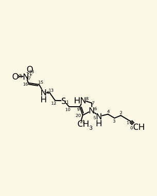 C#CCCCNN1CNC(CSCCNC=C[N+](=O)[O-])=C1C